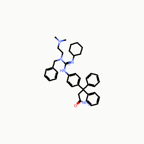 CN(C)CCN(Cc1ccccc1)/C(=N\C1CCCCC1)Nc1ccc(C(CC(N)=O)(c2ccccc2)c2ccccc2)cc1